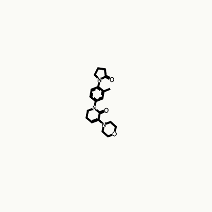 Cc1cc(N2CCC=C(N3CCOCC3)C2=O)ccc1N1CCCC1=O